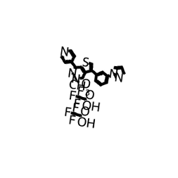 Cn1nc(-c2ccncc2)c2scc(-c3cccc(-n4cccn4)c3)c2c1=O.O=C(O)C(F)(F)F.O=C(O)C(F)(F)F